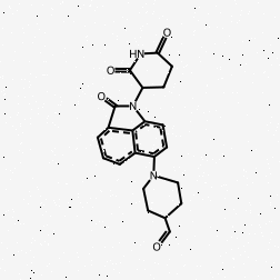 O=CC1CCN(c2ccc3c4c(cccc24)C(=O)N3C2CCC(=O)NC2=O)CC1